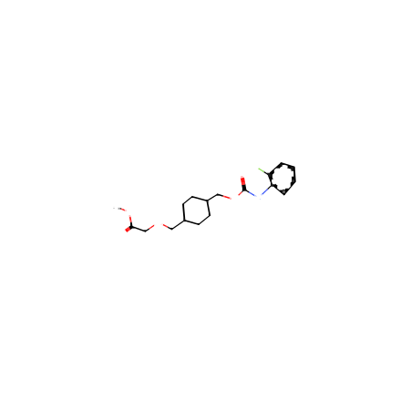 CC(C)(C)OC(=O)COCC1CCC(COC(=O)Nc2ccccc2F)CC1